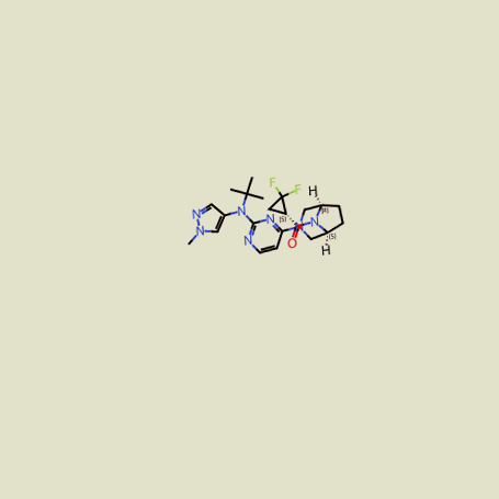 Cn1cc(N(c2nccc(N3C[C@H]4CC[C@@H](C3)N4C(=O)[C@@H]3CC3(F)F)n2)C(C)(C)C)cn1